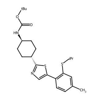 Cc1ccc(-c2cnc([C@H]3CC[C@H](NC(=O)OC(C)(C)C)CC3)s2)c(SC(C)C)c1